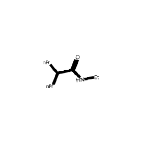 CCCC(CCC)C(=O)NCC